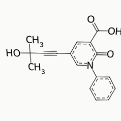 CC(C)(O)C#Cc1cc(C(=O)O)c(=O)n(-c2ccccc2)c1